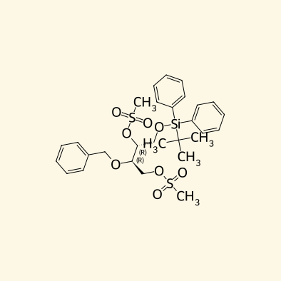 CC(C)(C)[Si](OC[C@@H](OS(C)(=O)=O)[C@@H](COS(C)(=O)=O)OCc1ccccc1)(c1ccccc1)c1ccccc1